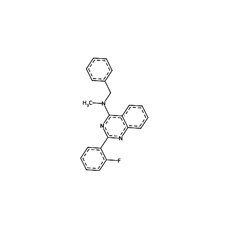 CN(Cc1ccccc1)c1nc(-c2ccccc2F)nc2ccccc12